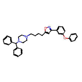 c1ccc(Oc2cccc(-c3cc(CCCCN4CCN(C(c5ccccc5)c5ccccc5)CC4)on3)c2)cc1